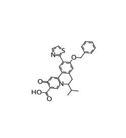 CC(C)C1Cc2cc(OCc3ccccc3)c(-c3nccs3)cc2-c2cc(=O)c(C(=O)O)cn21